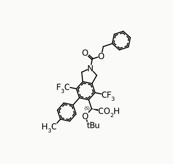 Cc1ccc(-c2c([C@H](OC(C)(C)C)C(=O)O)c(C(F)(F)F)c3c(c2C(F)(F)F)CN(C(=O)OCc2ccccc2)C3)cc1